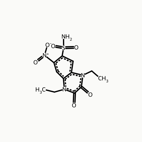 CCn1c(=O)c(=O)n(CC)c2cc(S(N)(=O)=O)c([N+](=O)[O-])cc21